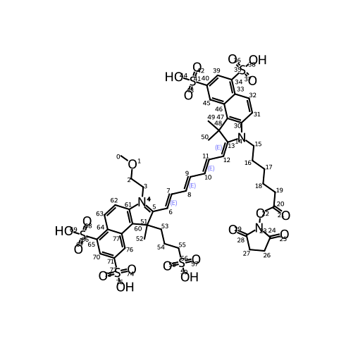 COCC[N+]1=C(/C=C/C=C/C=C/C=C2/N(CCCCCC(=O)ON3C(=O)CCC3=O)c3ccc4c(S(=O)(=O)O)cc(S(=O)(=O)O)cc4c3C2(C)C)C(C)(CCCS(=O)(=O)O)c2c1ccc1c(S(=O)(=O)O)cc(S(=O)(=O)O)cc21